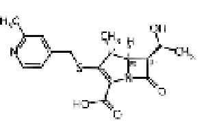 Cc1cc(CSC2=C(C(=O)O)N3C(=O)[C@H](C(C)O)[C@@H]3[C@H]2C)ccn1